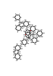 c1ccc(-n2c3ccccc3c3c(-c4ccc(N(c5ccc(-c6ccc7sc8ccccc8c7c6)cc5)c5cccc6c5C(c5ccccc5)(c5ccccc5)c5ccccc5-6)cc4)cccc32)cc1